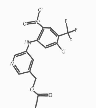 CCC(=O)OCc1cncc(Nc2cc(Cl)c(C(F)(F)F)cc2[N+](=O)[O-])c1